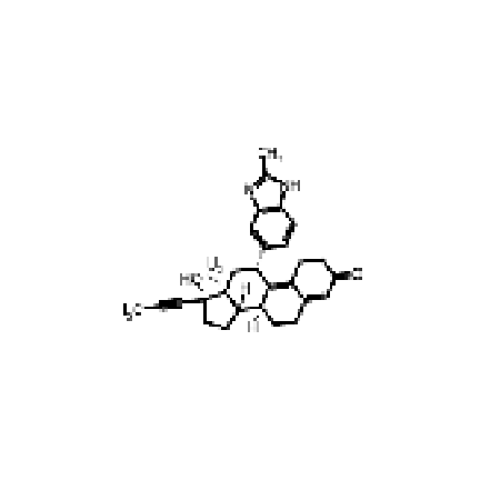 CC#C[C@]1(O)CC[C@H]2[C@@H]3CCC4=CC(=O)CCC4=C3[C@@H](c3ccc4[nH]c(C)nc4c3)C[C@@]21C